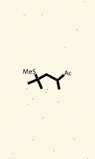 CSC(C)(C)CC(C)C(C)=O